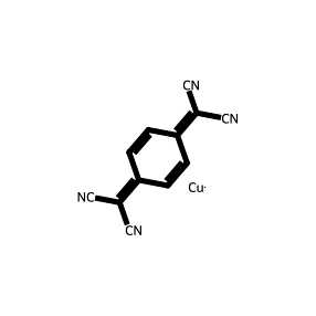 N#CC(C#N)=c1ccc(=C(C#N)C#N)cc1.[Cu]